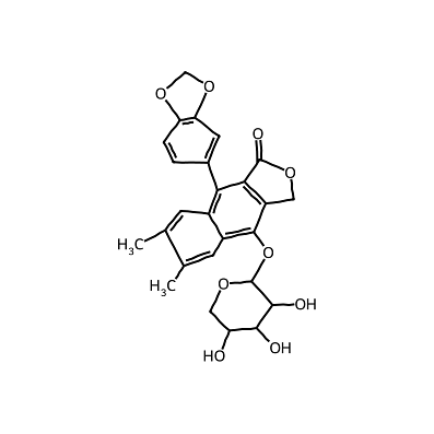 Cc1cc2c(OC3OCC(O)C(O)C3O)c3c(c(-c4ccc5c(c4)OCO5)c2cc1C)C(=O)OC3